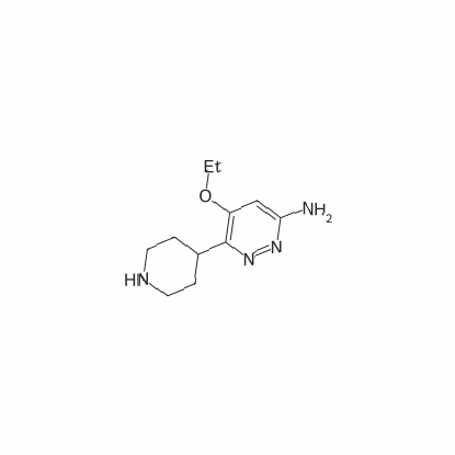 CCOc1cc(N)nnc1C1CCNCC1